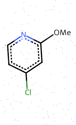 COc1cc(Cl)c[c]n1